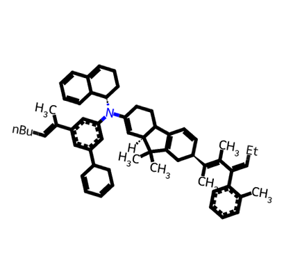 CC/C=C(\C(C)=C(/C)[C@@H]1C=CC2=C(C1)C(C)(C)[C@H]1C=C(N(c3cc(/C(C)=C/CCCC)cc(C4C=CC=CC4)c3)[C@H]3CCC=C4C=CC=CC43)CCC21)c1ccccc1C